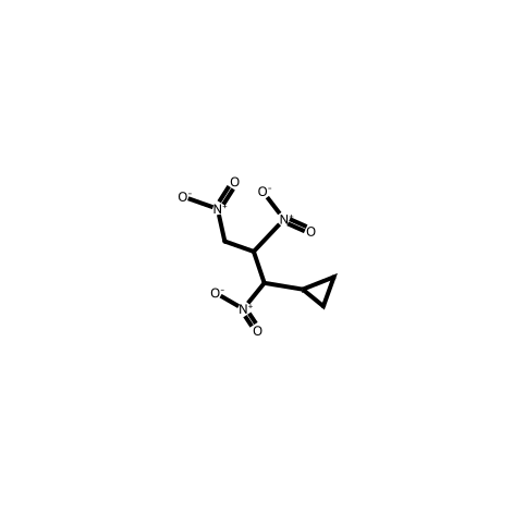 O=[N+]([O-])CC(C([C]1CC1)[N+](=O)[O-])[N+](=O)[O-]